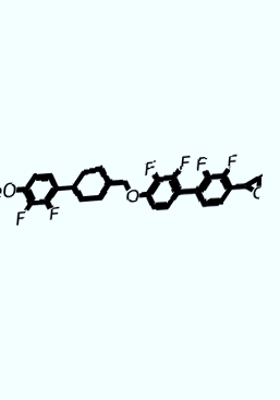 COc1ccc(C2CCC(COc3ccc(-c4ccc(C5CO5)c(F)c4F)c(F)c3F)CC2)c(F)c1F